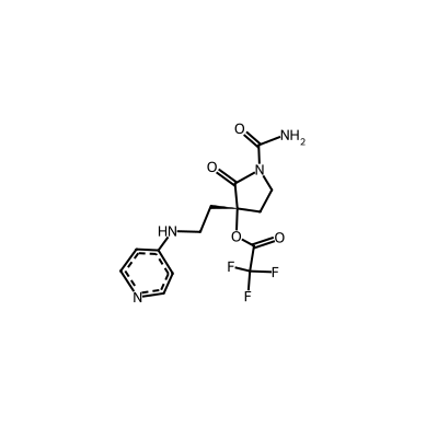 NC(=O)N1CC[C@](CCNc2ccncc2)(OC(=O)C(F)(F)F)C1=O